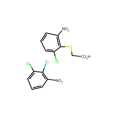 O=C(O)CSc1c(Cl)cccc1[N+](=O)[O-].O=[N+]([O-])c1cccc(Cl)c1Cl